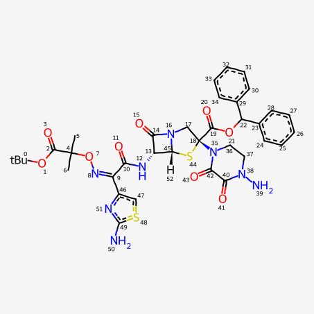 CC(C)(C)OC(=O)C(C)(C)O/N=C(\C(=O)N[C@@H]1C(=O)N2C[C@@](C(=O)OC(c3ccccc3)c3ccccc3)(N3CCN(N)C(=O)C3=O)S[C@H]12)c1csc(N)n1